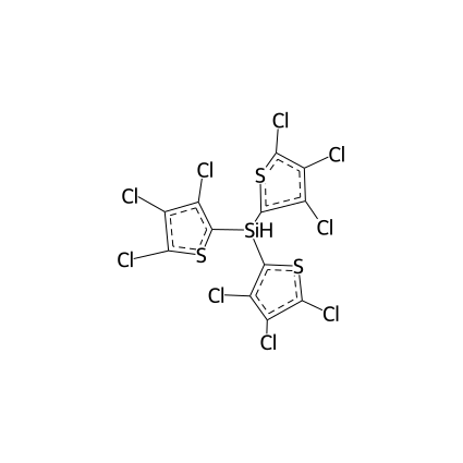 Clc1sc([SiH](c2sc(Cl)c(Cl)c2Cl)c2sc(Cl)c(Cl)c2Cl)c(Cl)c1Cl